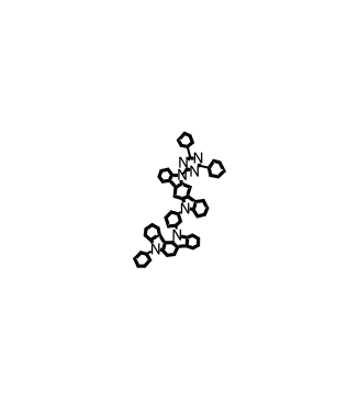 c1ccc(-c2nc(-c3ccccc3)nc(-n3c4ccccc4c4cc5c(cc43)c3ccccc3n5-c3cccc(-n4c5ccccc5c5ccc6c(c7ccccc7n6-c6ccccc6)c54)c3)n2)cc1